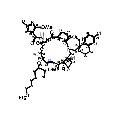 CCOCCCCCC(CI)O[C@H]1/C=C/[C@H](OC)[C@@H]2CC[C@H]2CN2C[C@@]3(CCCc4cc(Cl)ccc43)COc3ccc(cc32)C(=O)N=[S@](=O)(NC(=O)c2cn(C)nc2OC)C[C@H]1C